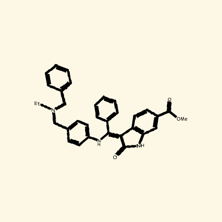 CCN(Cc1ccccc1)Cc1ccc(N/C(=C2\C(=O)Nc3cc(C(=O)OC)ccc32)c2ccccc2)cc1